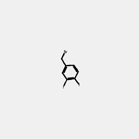 BrCc1ccc(I)c(I)c1